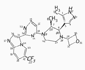 Cc1[nH]ncc1[C@@H]1[C@H](C)N(c2ccnc(-c3cnc4ccc(C(F)(F)F)cn34)n2)CCN1C1COC1